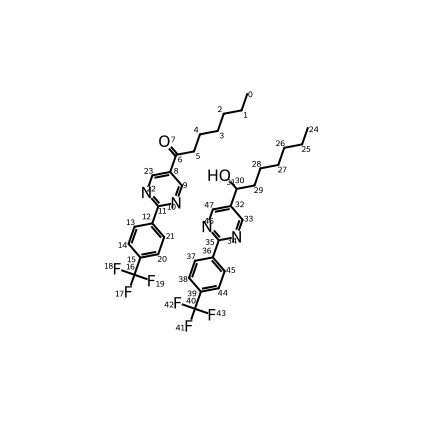 CCCCCCC(=O)c1cnc(-c2ccc(C(F)(F)F)cc2)nc1.CCCCCCC(O)c1cnc(-c2ccc(C(F)(F)F)cc2)nc1